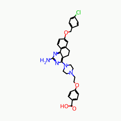 Nc1nc2c(c(N3CCN(CCOc4ccc(C(=O)O)cc4)CC3)n1)CCc1cc(OCc3ccc(Cl)cc3)ccc1-2